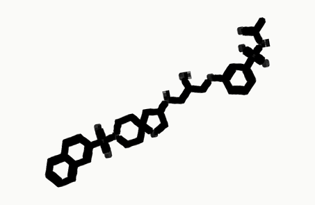 CC(=O)NS(=O)(=O)c1cccc(OCC(O)CNC2COC3(CCN(S(=O)(=O)c4ccc5ccccc5c4)CC3)C2)c1